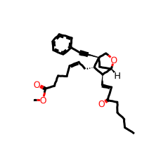 CCCCCC(=O)/C=C/[C@@H]1[C@@H]2C[C@@](C#Cc3ccccc3)(CO2)[C@H]1C/C=C\CCCC(=O)OC